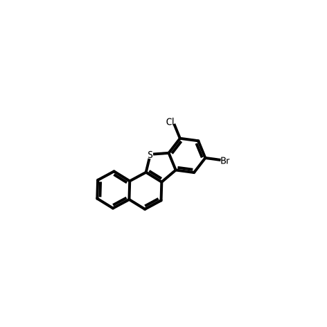 Clc1cc(Br)cc2c1sc1c3ccccc3ccc21